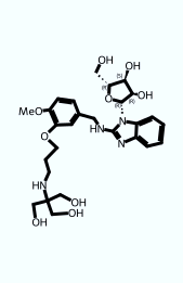 COc1ccc(CNc2nc3ccccc3n2[C@@H]2O[C@H](CO)[C@@H](O)[C@H]2O)cc1OCCCNC(CO)(CO)CO